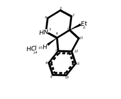 CC[C@]12CCCN[C@H]1c1ccccc1C2.Cl